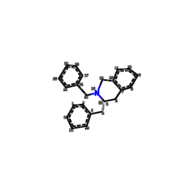 c1ccc(C[C@H]2Cc3ccccc3CN2Cc2ccccc2)cc1